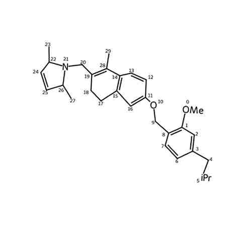 COc1cc(CC(C)C)ccc1COc1ccc2c(c1)CCC(CN1C(C)C=CC1C)=C2C